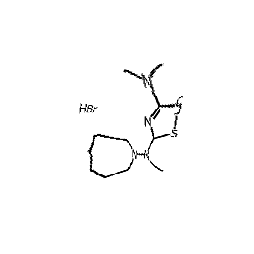 Br.CN(C)C1=NC(N(C)N2CCCCCC2)SS1